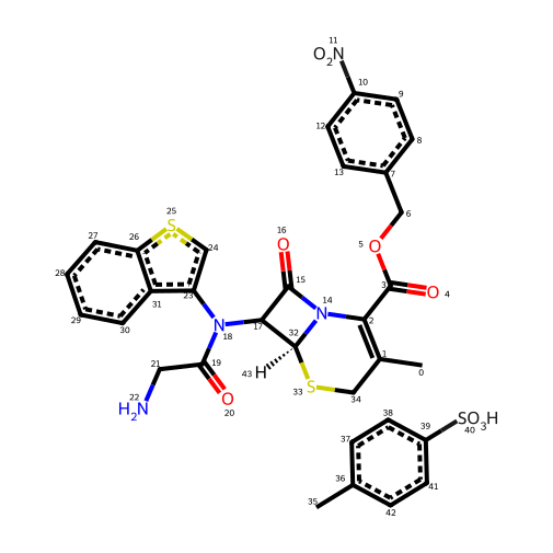 CC1=C(C(=O)OCc2ccc([N+](=O)[O-])cc2)N2C(=O)C(N(C(=O)CN)c3csc4ccccc34)[C@@H]2SC1.Cc1ccc(S(=O)(=O)O)cc1